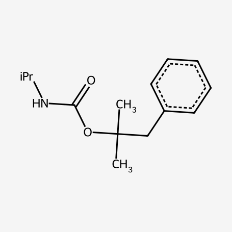 CC(C)NC(=O)OC(C)(C)Cc1ccccc1